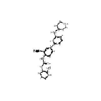 N#Cc1cc(-c2ccnc(NC3CCOCC3)n2)ccc1NC(=O)Cc1cccnc1Cl